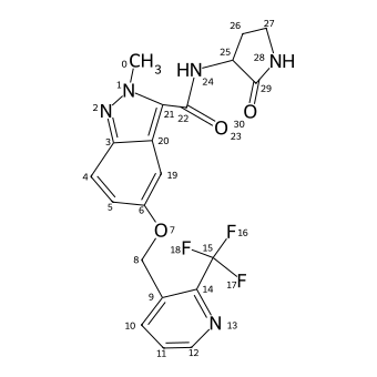 Cn1nc2ccc(OCc3cccnc3C(F)(F)F)cc2c1C(=O)NC1CCNC1=O